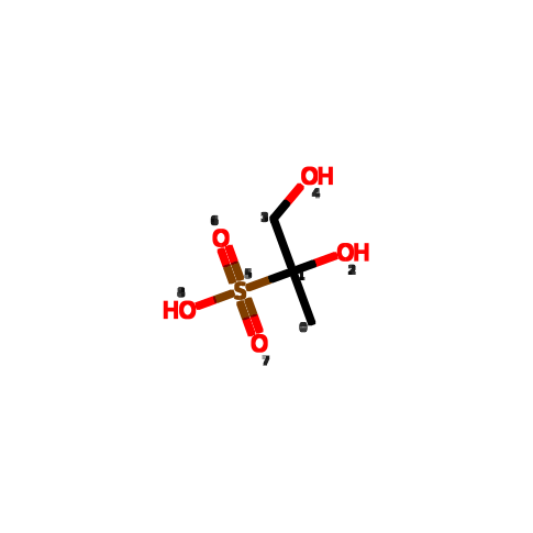 CC(O)(CO)S(=O)(=O)O